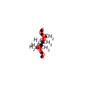 C=CC(=O)OC(COc1ccc(Oc2ccccc2)cc1)COc1c(C)cc(-c2cc(C)c(OCC(COc3ccc(Oc4ccccc4)cc3)OC(=O)C=C)c(C)c2)cc1C